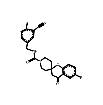 N#Cc1cc(CNC(=O)N2CCC3(CC2)CC(=O)c2cc(F)ccc2O3)ccc1F